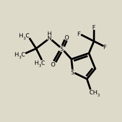 Cc1cc(C(F)(F)F)c(S(=O)(=O)NC(C)(C)C)s1